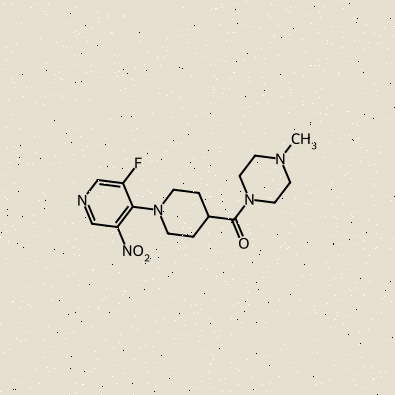 CN1CCN(C(=O)C2CCN(c3c(F)cncc3[N+](=O)[O-])CC2)CC1